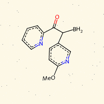 BC(C(=O)c1ccccn1)c1ccc(OC)nc1